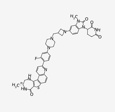 C[C@@H]1CNc2c(sc3ccc4nc(-c5ccc(N6CCN(CC7CN(c8ccc9c(c8)n(C)c(=O)n9C8CCC(=O)NC8=O)C7)CC6)cc5F)ccc4c23)C(=O)N1